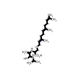 C=C(C)NC(CCC)C(=C)NC(CSC/C=C(\C)CC/C=C(\C)CCC=C(C)C)C(=O)O